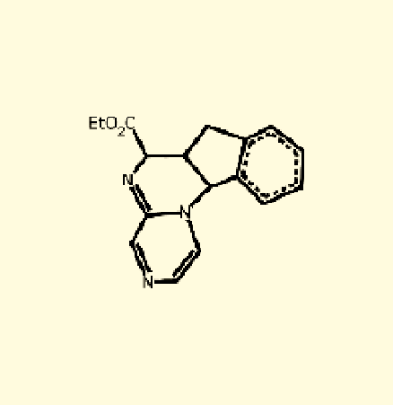 CCOC(=O)C1N=C2C=NC=CN2C2c3ccccc3CC12